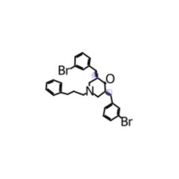 O=C1/C(=C/c2cccc(Br)c2)CN(CCCc2ccccc2)C/C1=C\c1cccc(Br)c1